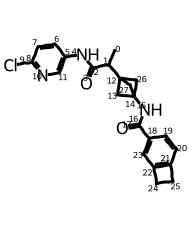 CC(C(=O)Nc1ccc(Cl)nc1)C12CC(NC(=O)c3ccc4c(c3)CC4)(C1)C2